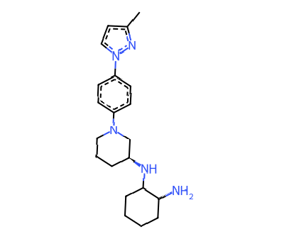 Cc1ccn(-c2ccc(N3CCC[C@H](NC4CCCCC4N)C3)cc2)n1